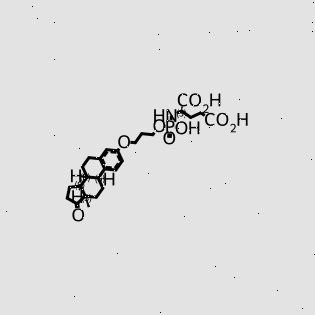 C[C@]12CC[C@@H]3c4ccc(OCCCOP(=O)(O)N[C@@H](CCC(=O)O)C(=O)O)cc4CC[C@H]3[C@@H]1CCC2=O